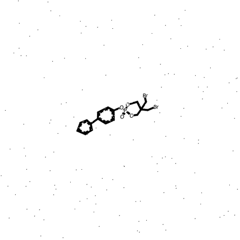 O=P1(Oc2ccc(-c3ccccc3)cc2)OCC(CBr)(CBr)CO1